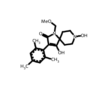 COCN1C(=O)C(c2c(C)cc(C)cc2C)=C(O)C12CCN(O)CC2